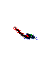 COCCOCCOCCOCCOCCOCCOc1ccc(-c2cc3c(N[C@@H]4CC[C@](C)(N)C4(C)C)c(/C(N)=N/c4cc(F)ccc4Cl)cnn3c2)cc1